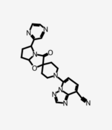 N#Cc1ccc(N2CCC3(CC2)OC2CCC(c4cnccn4)N2C3=O)n2ncnc12